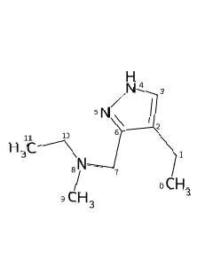 CCc1c[nH]nc1CN(C)CC